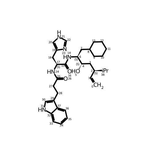 C=C[C@@H](C[C@H](O)[C@H](CC1CCCCC1)NC(=O)[C@H](Cc1c[nH]cn1)NC(=O)CCc1c[nH]c2ccccc12)C(C)C